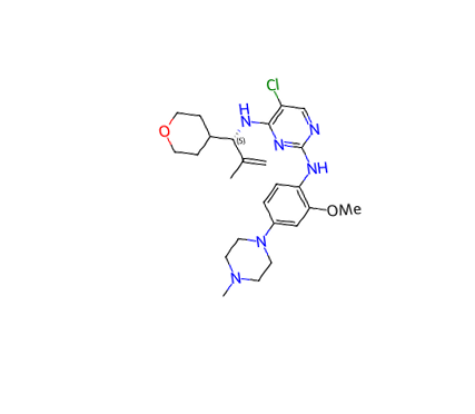 C=C(C)[C@@H](Nc1nc(Nc2ccc(N3CCN(C)CC3)cc2OC)ncc1Cl)C1CCOCC1